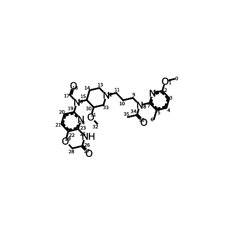 COc1ccc(C)c(N(CCCN2CCC(N(C=O)c3ccc4c(n3)NC(=O)CO4)C(OC)C2)C(C)=O)n1